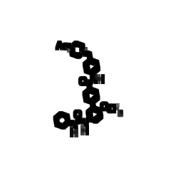 CC(=O)N1CCN(Cc2ccc(NC(=O)c3ccc(-c4cc(NC(=O)NC5CCCCC5)ccc4OC(F)(F)F)cc3)cc2)CC1